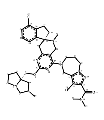 C[C@H]1CN2CCC[C@@]2(COc2nc3c(c(N4CCCn5nc(C(=O)N(C)C)c(Cl)c5C4)n2)CN(C)[C@@]2(CCc4c(Cl)cccc42)C3)C1